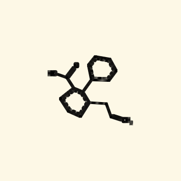 C=CCc1cccc(C(=O)O)c1-c1ccccc1